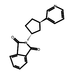 O=C1c2ccccc2C(=O)N1[C@@H]1CC[C@@H](c2cccnc2)C1